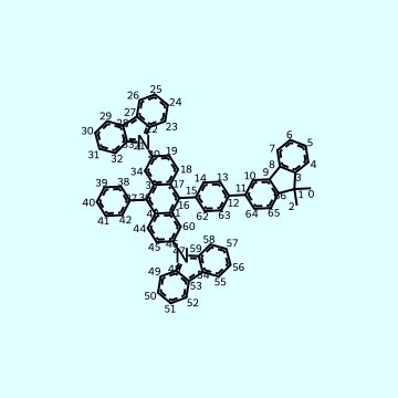 CC1(C)c2ccccc2-c2cc(-c3ccc(-c4c5ccc(-n6c7ccccc7c7ccccc76)cc5c(-c5ccccc5)c5ccc(-n6c7ccccc7c7ccccc76)cc45)cc3)ccc21